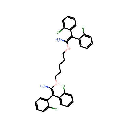 NC(BCCCCCBC(N)=C(c1ccccc1Cl)c1ccccc1Cl)=C(c1ccccc1Cl)c1ccccc1Cl